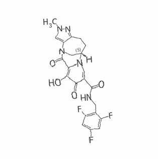 Cn1cc2c(n1)CC[C@H]1CN2C(=O)c2c(O)c(=O)c(C(=O)NCc3c(F)cc(F)cc3F)cn21